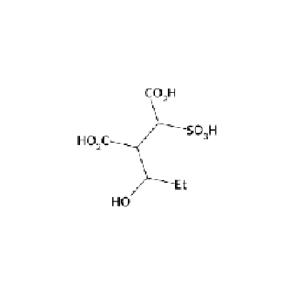 CCC(O)C(C(=O)O)C(C(=O)O)S(=O)(=O)O